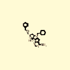 Nc1ncnn2c(C3(O)O[C@H](COCc4ccccc4)C[C@H]3OCc3ccccc3)ccc12